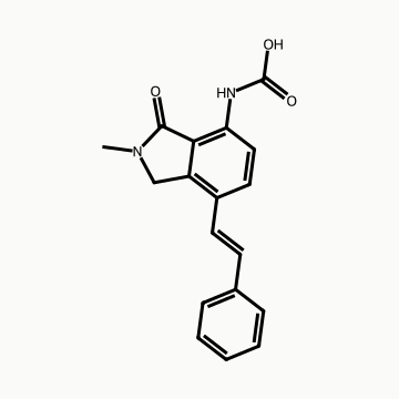 CN1Cc2c(C=Cc3ccccc3)ccc(NC(=O)O)c2C1=O